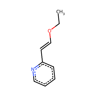 CCOC=Cc1ccccn1